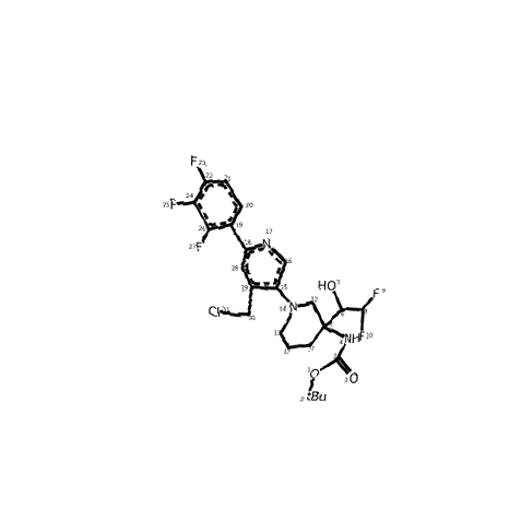 CC(C)(C)OC(=O)NC1(C(O)C(F)F)CCCN(c2cnc(-c3ccc(F)c(F)c3F)cc2CCl)C1